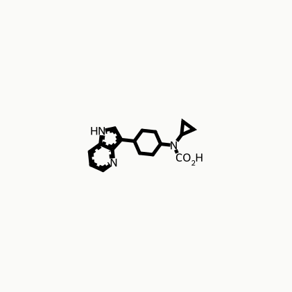 O=C(O)N(C1CCC(c2c[nH]c3cccnc23)CC1)C1CC1